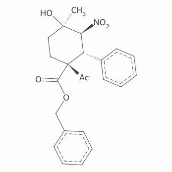 CC(=O)[C@@]1(C(=O)OCc2ccccc2)CC[C@@](C)(O)[C@@H]([N+](=O)[O-])[C@@H]1c1ccccc1